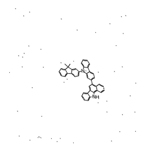 CC1(C)c2ccccc2-c2ccc(-n3c4ccccc4c4ccc(-c5cc6c7ccccc7[nH]c6c6ccccc56)cc43)cc21